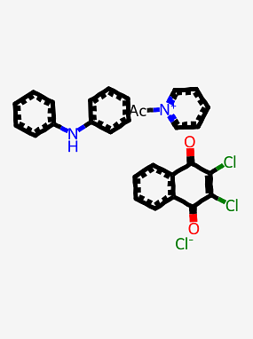 CC(=O)[n+]1ccccc1.O=C1C(Cl)=C(Cl)C(=O)c2ccccc21.[Cl-].c1ccc(Nc2ccccc2)cc1